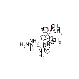 C/C=C(\OC(=O)NCC1CCCN1C(=O)[C@@H](N)CCCNC(N)N)C(CC(C)N(C)C)(c1ccccc1)c1ccccc1